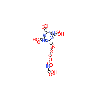 O=C(NCCc1ccc(O)c(O)c1)OCCOCCOCCOCCOC(=O)c1ccc(-c2c3nc(c(-c4ccc(C(=O)O)cc4)c4ccc([nH]4)c(-c4ccc(C(=O)O)cc4)c4nc(c(-c5ccc(C(=O)O)cc5)c5ccc2[nH]5)C=C4)C=C3)cc1